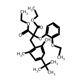 CCOC(=O)C(Cc1c(C)cc(C(C)(C)C)cc1C)(Oc1ccccc1OCC)C(=O)OCC